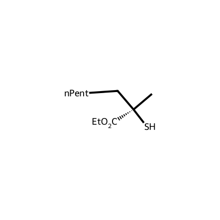 CCCCCC[C@@](C)(S)C(=O)OCC